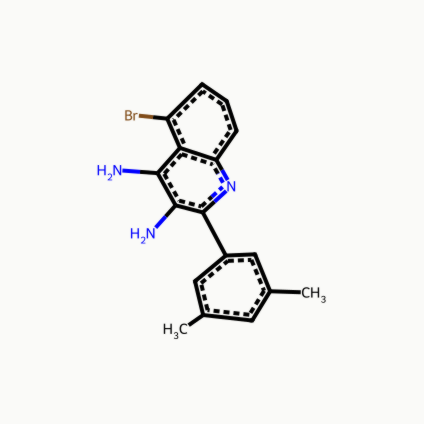 Cc1cc(C)cc(-c2nc3cccc(Br)c3c(N)c2N)c1